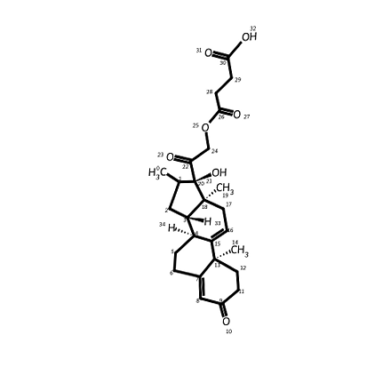 CC1C[C@H]2[C@@H]3CCC4=CC(=O)CC[C@]4(C)C3=CC[C@]2(C)[C@@]1(O)C(=O)COC(=O)CCC(=O)O